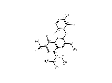 COc1cc2c(cc1Cc1c(F)ccc(Cl)c1F)c(=O)c(C(=O)O)cn2[C@H](CO)C(C)C